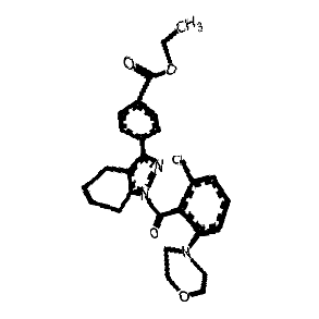 CCOC(=O)c1ccc(-c2nn(C(=O)c3c(Cl)cccc3N3CCOCC3)c3c2CCCC3)cc1